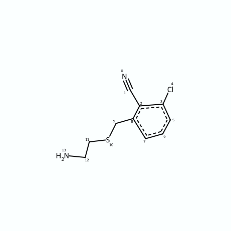 N#Cc1c(Cl)cccc1CSCCN